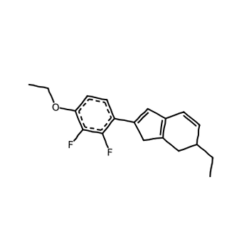 CCOc1ccc(C2=CC3=C(C2)CC(CC)C=C3)c(F)c1F